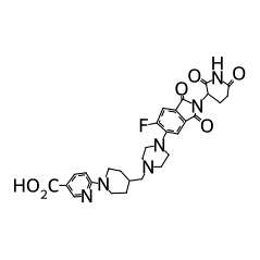 O=C1CCC(N2C(=O)c3cc(F)c(N4CCN(CC5CCN(c6ccc(C(=O)O)cn6)CC5)CC4)cc3C2=O)C(=O)N1